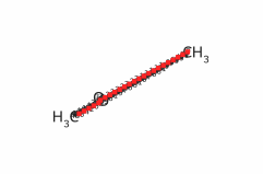 CCCCCCCCCCCCCCCCCCCCCCCCCCCCCCCCCCCOC(=O)CCCCCCCCCCC